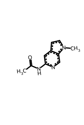 CC(=O)Nc1cc2ccn(C)c2cn1